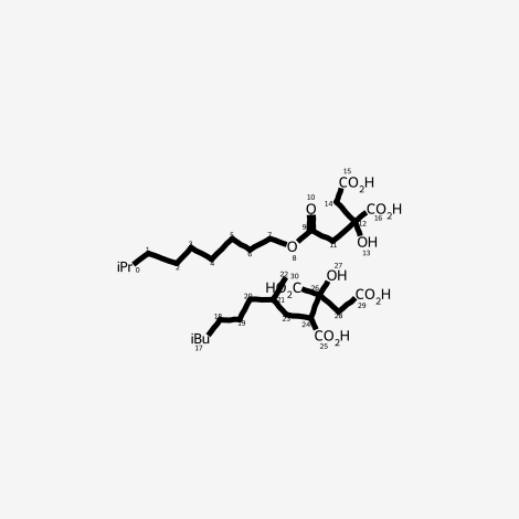 CC(C)CCCCCCCOC(=O)CC(O)(CC(=O)O)C(=O)O.CCC(C)CCCC(C)CC(C(=O)O)C(O)(CC(=O)O)C(=O)O